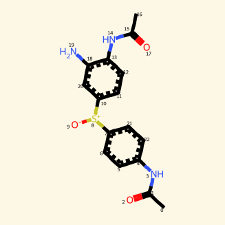 CC(=O)Nc1ccc([S+]([O-])c2ccc(NC(C)=O)c(N)c2)cc1